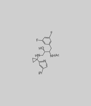 CC(=O)NC(Cc1cc(F)cc(F)c1)[C@H](O)CNC1(c2cc(C(C)C)ccn2)CC1